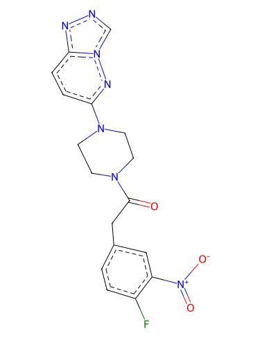 O=C(Cc1ccc(F)c([N+](=O)[O-])c1)N1CCN(c2ccc3nncn3n2)CC1